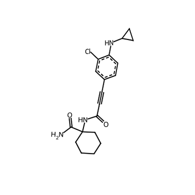 NC(=O)C1(NC(=O)C#Cc2ccc(NC3CC3)c(Cl)c2)CCCCC1